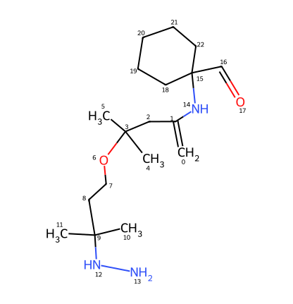 C=C(CC(C)(C)OCCC(C)(C)NN)NC1(C=O)CCCCC1